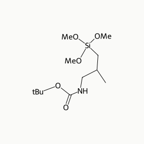 CO[Si](CC(C)CNC(=O)OC(C)(C)C)(OC)OC